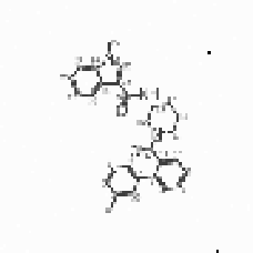 Cc1cccc(-c2ccccc2C(=O)N2CCC[C@@H](NC(=O)c3cn(C)c4ccccc34)C2)c1